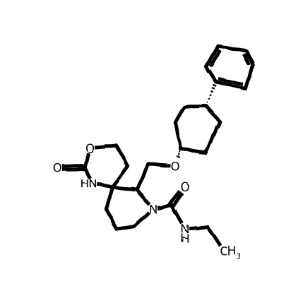 CCNC(=O)N1CCCC2(CCOC(=O)N2)C1CO[C@H]1CC[C@@H](c2ccccc2)CC1